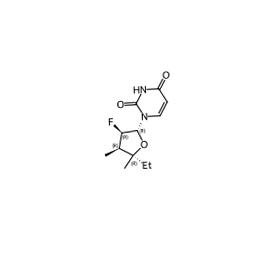 CC[C@@]1(C)O[C@@H](n2ccc(=O)[nH]c2=O)[C@H](F)[C@@H]1C